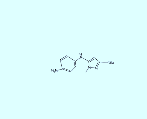 Cn1nc(C(C)(C)C)cc1Nc1ccc(N)cc1